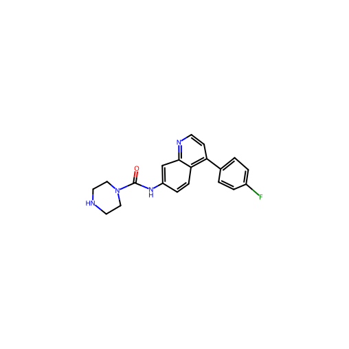 O=C(Nc1ccc2c(-c3ccc(F)cc3)ccnc2c1)N1CCNCC1